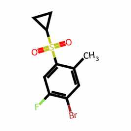 Cc1cc(Br)c(F)cc1S(=O)(=O)C1CC1